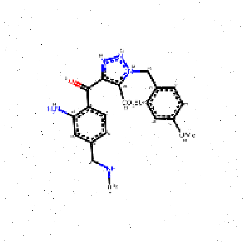 CCCNCc1ccc(C(=O)c2nnn(Cc3ccc(OC)cc3)c2C(=O)OCC)c(N)c1